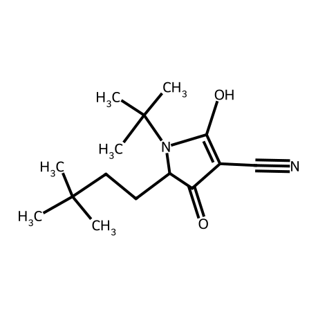 CC(C)(C)CCC1C(=O)C(C#N)=C(O)N1C(C)(C)C